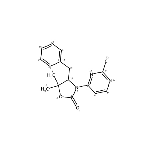 CC1(C)OC(=O)N(c2ccnc(Cl)n2)C1Cc1ccccc1